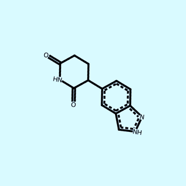 O=C1CCC(c2ccc3n[nH]cc3c2)C(=O)N1